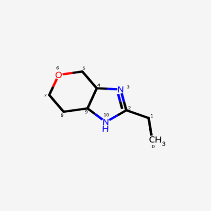 CCC1=NC2COCCC2N1